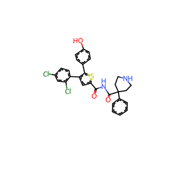 O=C(NC(=O)C1(c2ccccc2)CCNCC1)c1cc(-c2ccc(Cl)cc2Cl)c(-c2ccc(O)cc2)s1